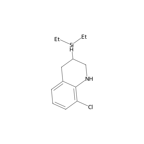 CC[SiH](CC)C1CNc2c(Cl)cccc2C1